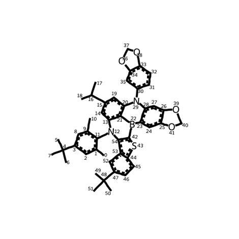 Cc1cc(C(C)(C)C)cc(C)c1N1c2cc(C(C)C)cc3c2B(c2cc4c(cc2N3c2ccc3c(c2)OCO3)OCO4)c2sc3ccc(C(C)(C)C)cc3c21